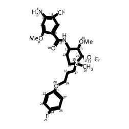 COc1cc(N)c(Cl)cc1C(=O)NC1CC[N+](C)(CCCOc2ccc(F)cc2)CC1OC.O.[I-]